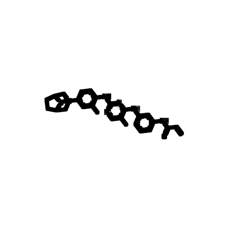 C=CC(=O)Nc1cccc(Nc2nc(Nc3ccc(N4CC5CCC(C4)N5C(C)=O)cc3C)ncc2C)c1